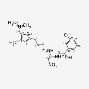 Cc1cc(CSCCN/C(=C/[N+](=O)[O-])NCC(O)c2cccc(Cl)c2)sc1CN(C)C